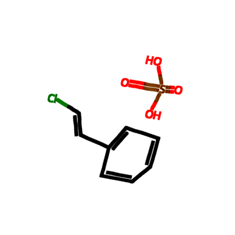 ClC=Cc1ccccc1.O=S(=O)(O)O